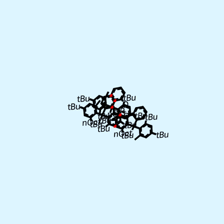 CCCCCCCCC(c1ccccc1OP(Oc1ccccc1C(CCCCCCCC)(c1c(C)cc(C(C)(C)C)cc1C(C)(C)C)c1c(C)cc(C(C)(C)C)cc1C(C)(C)C)Oc1ccccc1C(CCCCCCCC)(c1c(C)cc(C(C)(C)C)cc1C(C)(C)C)c1c(C)cc(C(C)(C)C)cc1C(C)(C)C)(c1c(C)cc(C(C)(C)C)cc1C(C)(C)C)c1c(C)cc(C(C)(C)C)cc1C(C)(C)C